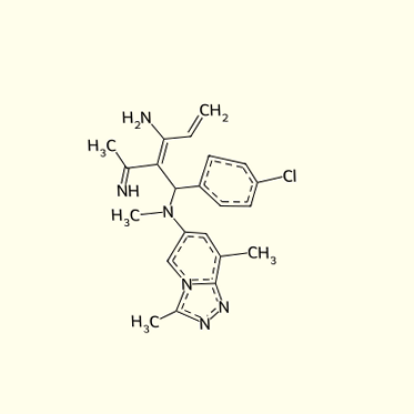 C=C/C(N)=C(/C(C)=N)C(c1ccc(Cl)cc1)N(C)c1cc(C)c2nnc(C)n2c1